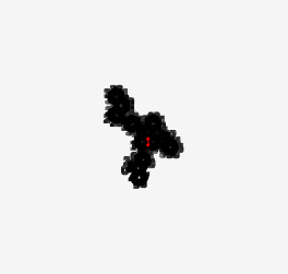 CC1(C)c2ccccc2-c2ccc(-c3ccc(N(c4ccc(-c5cccc6c5ccc5ccccc56)cc4)c4ccccc4-c4cccc5c4C(C)(C)c4ccccc4-5)cc3)cc21